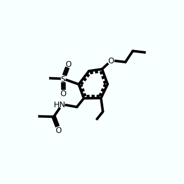 CCCOc1cc(CC)c(CNC(C)=O)c(S(C)(=O)=O)c1